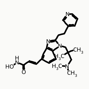 CN(C)CC(C)(C)Cn1c(CCc2cccnc2)nc2cc(C=CC(=O)NO)ccc21